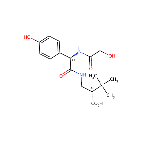 C[Si](C)(C)[C@@H](CNC(=O)[C@H](NC(=O)CO)c1ccc(O)cc1)C(=O)O